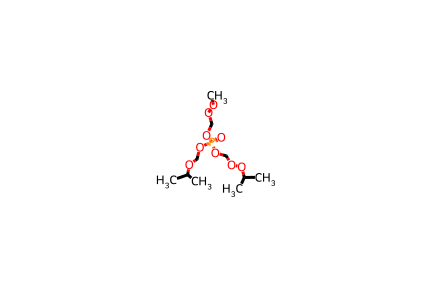 COOCOP(=O)(OCOOC(C)C)OCOC(C)C